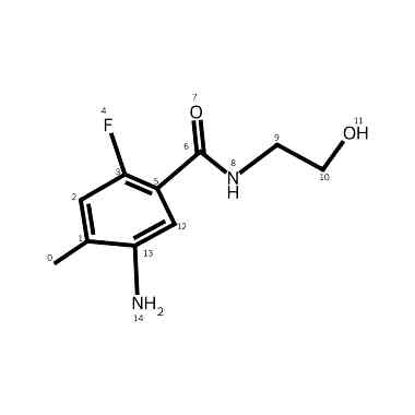 Cc1cc(F)c(C(=O)NCCO)cc1N